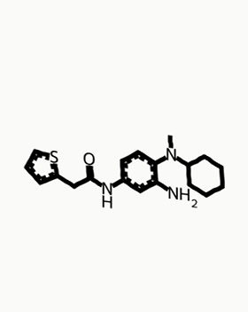 CN(c1ccc(NC(=O)Cc2cccs2)cc1N)C1CCCCC1